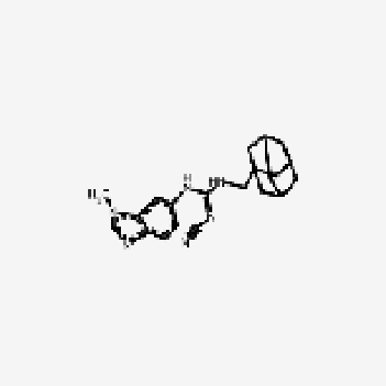 Cn1cnc2ccc(NC(=NC#N)NCC34CC5CC(CC(C5)C3)C4)cc21